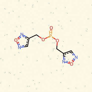 O=[PH](OCc1cnon1)OCc1cnon1